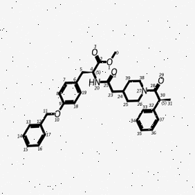 COC(=O)[C@H](Cc1ccc(OCc2ccccc2)cc1)NC(=O)CC1CCN(C(=O)[C@@H](C)c2ccccc2)CC1